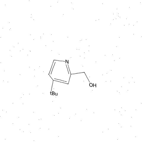 CC(C)(C)c1ccnc(CO)c1